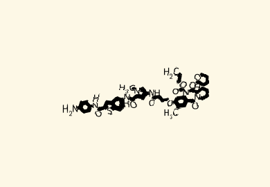 C=CCOC(=O)N1c2cc(OCCCC(=O)Nc3cc(C(=O)Nc4ccc5sc(C(=O)Nc6ccc(N)cc6)cc5c4)n(C)c3)c(C)cc2C(=O)N2CCCC[C@H]2C1OC1CCCCO1